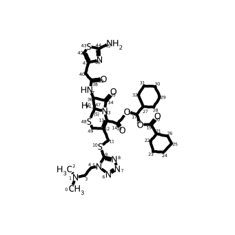 CN(C)CCn1nnnc1SCC1=C(C(=O)OC(OC(=O)C2CCCCC2)C2CCCCC2)N2C(=O)C(NC(=O)Cc3csc(N)n3)[C@@H]2SC1